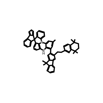 Cc1cc(-c2cc3c(cc2CCc2ccc4c(c2)C(C)(C)CCC4(C)C)-c2ccccc2C3(C)C)c2c(c1)N1c3ccccc3C3(c4ccccc4-c4ccccc43)c3cccc(c31)B2